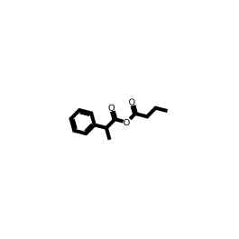 CCCC(=O)OC(=O)C(C)c1ccccc1